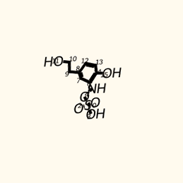 O=S(=O)(O)ONc1cc(CCO)ccc1O